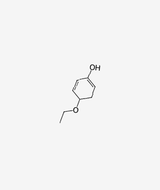 CCOC1C=CC(O)=CC1